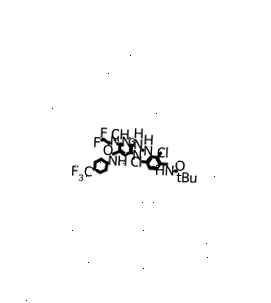 CN(CC(F)F)c1nc2[nH]c(Nc3c(Cl)ccc(CNC(=O)C(C)(C)C)c3Cl)nc2cc1C(=O)NC1CCC(C(F)(F)F)CC1